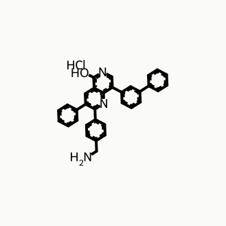 Cl.NCc1ccc(-c2nc3c(-c4cccc(-c5ccccc5)c4)cnc(O)c3cc2-c2ccccc2)cc1